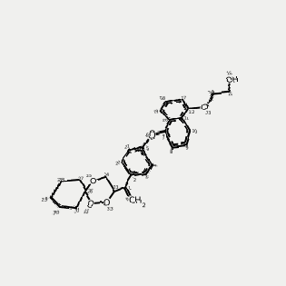 C=C(c1ccc(Oc2cccc3c(OCCO)cccc23)cc1)C1COC2(CCCCC2)OO1